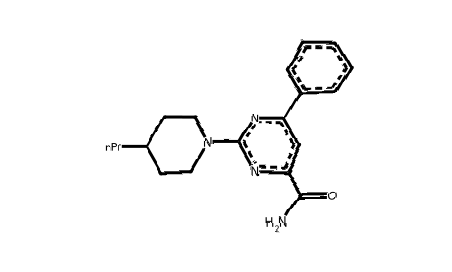 CCCC1CCN(c2nc(C(N)=O)cc(-c3ccccc3)n2)CC1